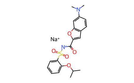 CC(C)Oc1ccccc1S(=O)(=O)[N-]C(=O)c1cc2ccc(N(C)C)cc2o1.[Na+]